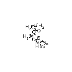 C=C(C)C(=O)OCC(C)OC(=O)Nc1c#cccc1